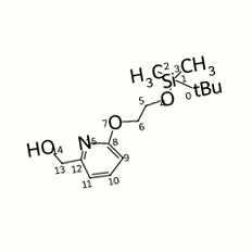 CC(C)(C)[Si](C)(C)OCCOc1cccc(CO)n1